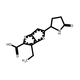 CCc1c(C(=O)O)sc2cc(C3CCC(=O)N3)sc12